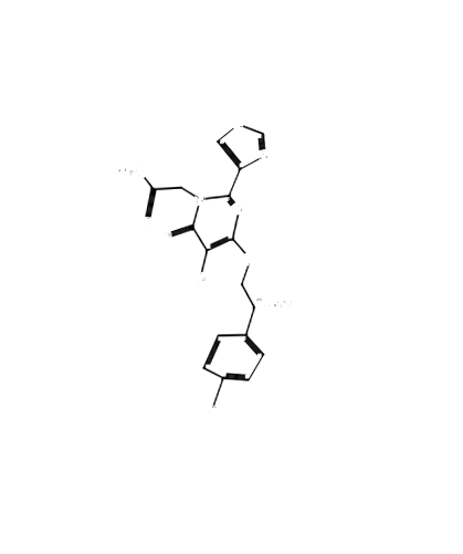 COC(=O)Cn1c(-c2cscn2)nc(OC[C@H](N)c2ccc(Cl)cc2)c(Br)c1=O